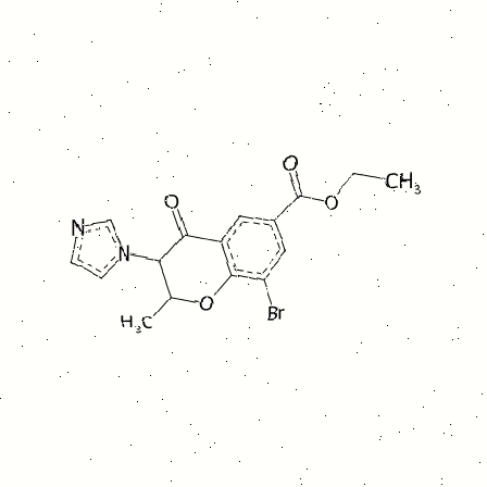 CCOC(=O)c1cc(Br)c2c(c1)C(=O)C(n1ccnc1)C(C)O2